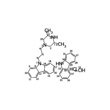 CC1CN(CCCn2c3ccccc3c3ccccc32)CC(C)N1.Cl.Cl.c1ccc2c(c1)[nH]c1ccccc12